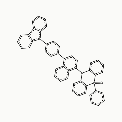 O=P1(c2ccccc2)c2ccccc2N(c2ccc(-c3ccc(-n4c5ccccc5c5ccccc54)cc3)c3ccccc23)c2ccccc21